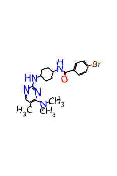 Cc1cnc(NC2CCC(NC(=O)c3ccc(Br)cc3)CC2)nc1N(C)C